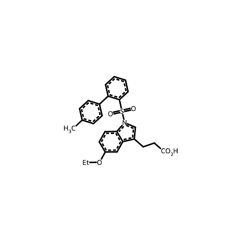 CCOc1ccc2c(c1)c(CCC(=O)O)cn2S(=O)(=O)c1ccccc1-c1ccc(C)cc1